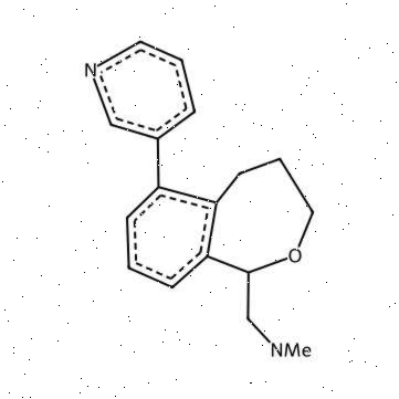 CNCC1OCCCc2c(-c3cccnc3)cccc21